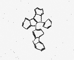 c1ccc(-n2c3ccccc3c3c4ccccc4n(-c4ccc5c(c4)sc4ccccc45)c32)cc1